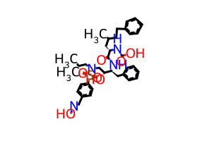 CC(C)CN(C[C@H](O)[C@H](Cc1ccccc1)NC(=O)[C@H](CC(C)CCc1ccccc1)NC(=O)O)S(=O)(=O)c1ccc(C=NO)cc1